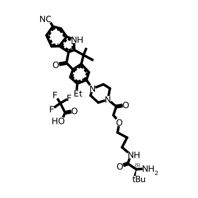 CCc1cc2c(cc1N1CCN(C(=O)COCCCNC(=O)[C@@H](N)C(C)(C)C)CC1)C(C)(C)c1[nH]c3cc(C#N)ccc3c1C2=O.O=C(O)C(F)(F)F